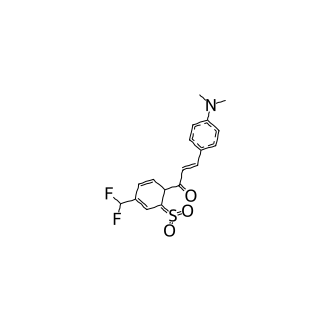 CN(C)c1ccc(C=CC(=O)C2C=CC(C(F)F)=CC2=S(=O)=O)cc1